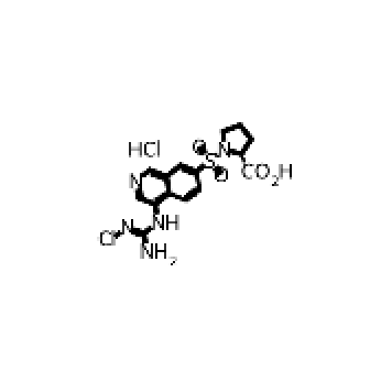 Cl.NC(=NCl)Nc1cncc2cc(S(=O)(=O)N3CCC[C@H]3C(=O)O)ccc12